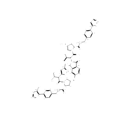 C=C(C)[C@@H](C(=O)N1C[C@H](O)C[C@H]1C(=O)NCc1ccc(-c2ccno2)cc1)N1Cc2cc(O[C@@H]3C[C@@H](C(=O)NCc4ccc(-c5scnc5C)cc4)N(C(=O)C(c4cc(C)no4)C(C)C)C3)ccc2C1=O